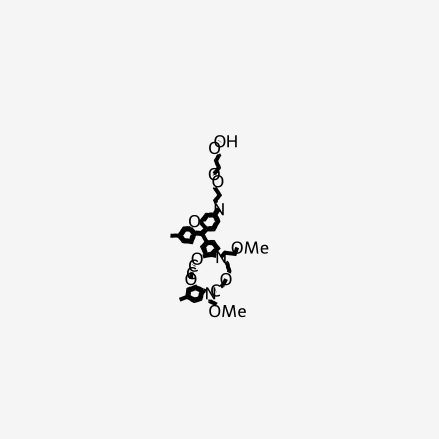 COCCN1CCOCCN(CCOC)c2ccc(-c3c4cc/c(=N/CCCOOCCCOO)cc-4oc4cc(C)ccc34)cc2OCCOc2cc(C)ccc21